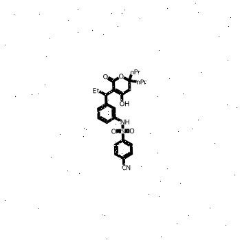 CCCC1(CCC)CC(O)=C(C(CC)c2cccc(NS(=O)(=O)c3ccc(C#N)cc3)c2)C(=O)O1